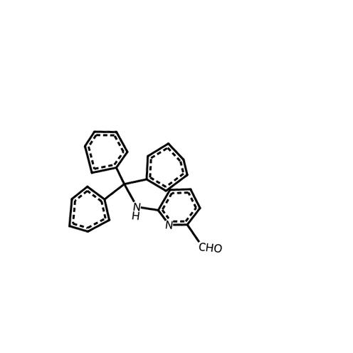 O=Cc1cccc(NC(c2ccccc2)(c2ccccc2)c2ccccc2)n1